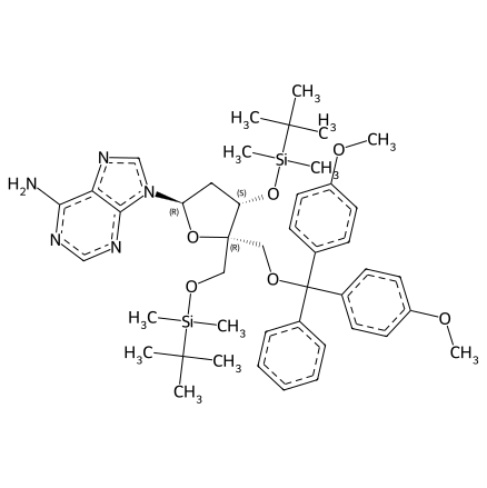 COc1ccc(C(OC[C@]2(CO[Si](C)(C)C(C)(C)C)O[C@@H](n3cnc4c(N)ncnc43)C[C@@H]2O[Si](C)(C)C(C)(C)C)(c2ccccc2)c2ccc(OC)cc2)cc1